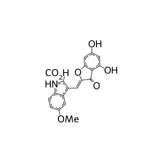 COc1ccc2[nH]c(C(=O)O)c(/C=C3\Oc4cc(O)cc(O)c4C3=O)c2c1